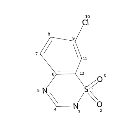 O=S1(=O)[N]C=Nc2ccc(Cl)cc21